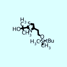 CC(C)(O)c1nc(CCO[Si](C)(C)C(C)(C)C)cs1